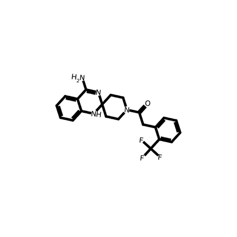 NC1=NC2(CCN(C(=O)Cc3ccccc3C(F)(F)F)CC2)Nc2ccccc21